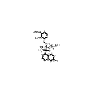 COc1cccc(CNC(C)(C)C(N)(I)c2ccnc3cc(Cl)ccc23)c1O.Cl.Cl